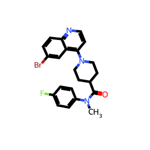 CN(C(=O)C1CCN(c2ccnc3ccc(Br)cc23)CC1)c1ccc(F)cc1